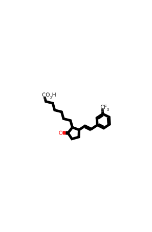 O=C(O)CCCCCCC1C(=O)CCC1C=Cc1cccc(C(F)(F)F)c1